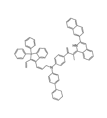 C=CC1=C(/C=C\CN(c2ccc(C(=C)/C(C)=C3\NC(c4ccc5ccccc5c4)=Cc4ccccc43)cc2)c2ccc(C3=CC=CCC3)cc2)c2ccccc2C1(c1ccccc1)c1ccccc1